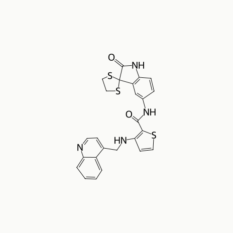 O=C(Nc1ccc2c(c1)C1(SCCS1)C(=O)N2)c1sccc1NCc1ccnc2ccccc12